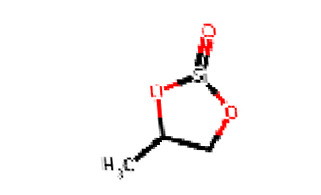 CC1CO[Si](=O)O1